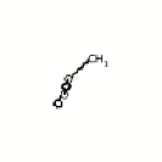 CCCCCCCC[CH]Oc1ccc(OCc2ccccc2)cc1